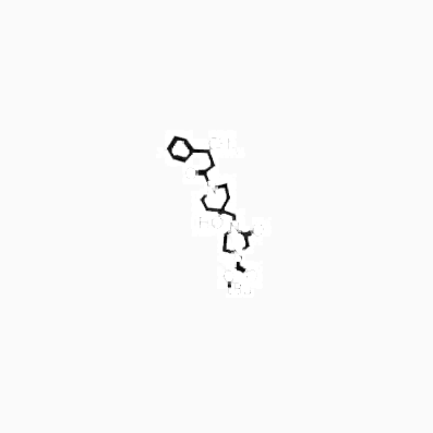 C[C@H](CC(=O)N1CCC(O)(CN2CCN(C(=O)OC(C)(C)C)CC2=O)CC1)c1ccccc1